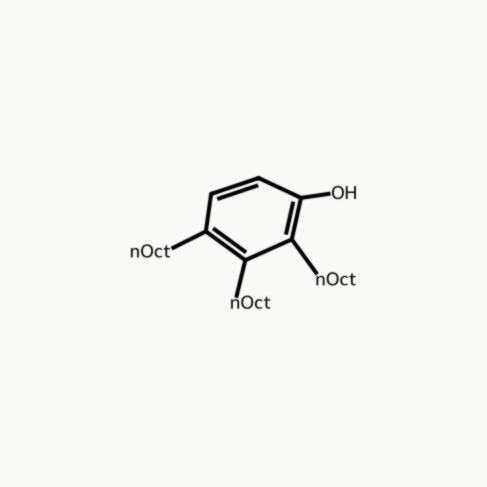 CCCCCCCCc1ccc(O)c(CCCCCCCC)c1CCCCCCCC